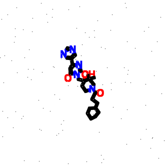 CC1(C)CN(C(=O)CCC2CCCCC2)CCC1(O)Cn1cnc(-c2cncnc2)cc1=O